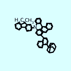 CC1(C)c2ccccc2-c2ccc(N(c3ccc(-c4ccc(C56CC7CC(CC(C7)C5)C6)c5ccccc45)cc3)c3ccccc3-c3cccc4ccccc34)cc21